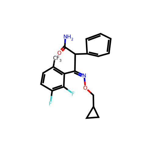 NC(=O)C(/C(=N/OCC1CC1)c1c(C(F)(F)F)ccc(F)c1F)c1ccccc1